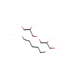 CCCCCCCCCCCCCCCC(=O)O.OCC(O)COCC(O)CO